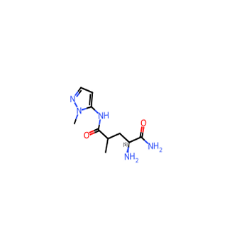 CC(C[C@H](N)C(N)=O)C(=O)Nc1ccnn1C